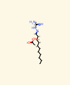 CC(=O)O.CCCCCCCCCC/C=N/NC(=N)N